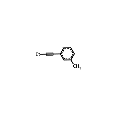 CCC#Cc1[c]ccc(C)c1